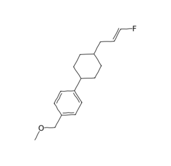 COCc1ccc(C2CCC(CC=CF)CC2)cc1